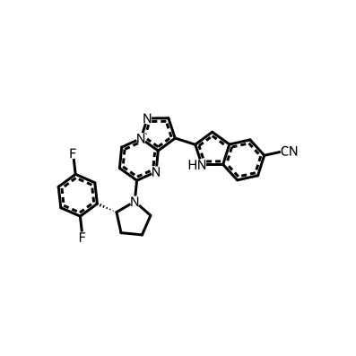 N#Cc1ccc2[nH]c(-c3cnn4ccc(N5CCC[C@@H]5c5cc(F)ccc5F)nc34)cc2c1